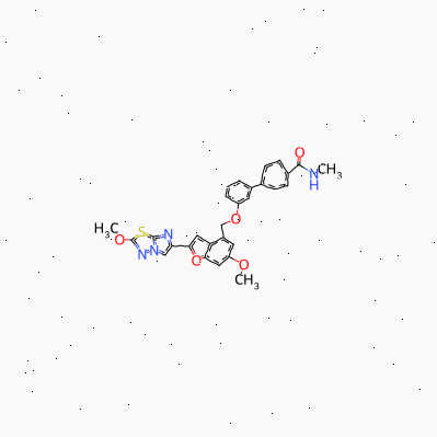 CNC(=O)c1ccc(-c2cccc(OCc3cc(OC)cc4oc(-c5cn6nc(OC)sc6n5)cc34)c2)cc1